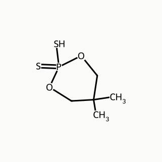 CC1(C)COP(=S)(S)OC1